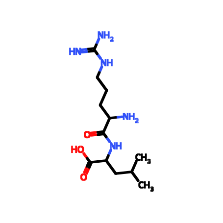 CC(C)CC(NC(=O)C(N)CCCNC(=N)N)C(=O)O